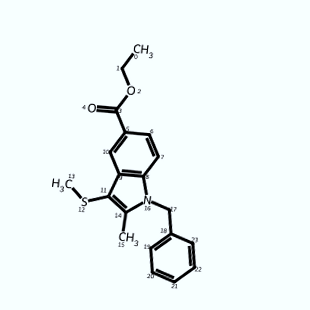 CCOC(=O)c1ccc2c(c1)c(SC)c(C)n2Cc1ccccc1